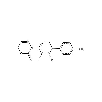 Cc1ccc(-c2ccc(N3N=CCOC3=O)c(F)c2F)cc1